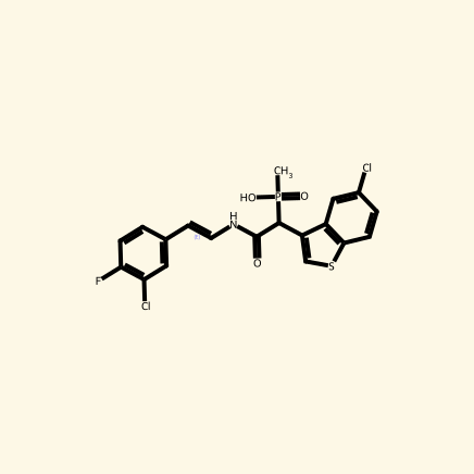 CP(=O)(O)C(C(=O)N/C=C/c1ccc(F)c(Cl)c1)c1csc2ccc(Cl)cc12